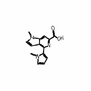 Cn1cccc1-c1nc(C(=O)O)cc2c1ccn2C